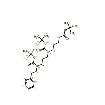 CC(C)(C)OC(=O)NCCCN(CCCN(CCc1ccccn1)C(=O)OC(C)(C)C)C(=O)OC(C)(C)C